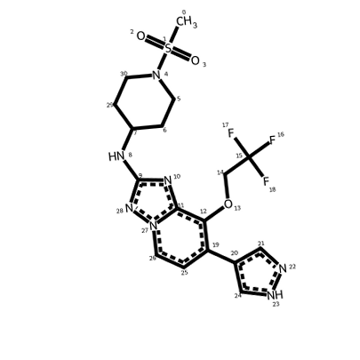 CS(=O)(=O)N1CCC(Nc2nc3c(OCC(F)(F)F)c(-c4cn[nH]c4)ccn3n2)CC1